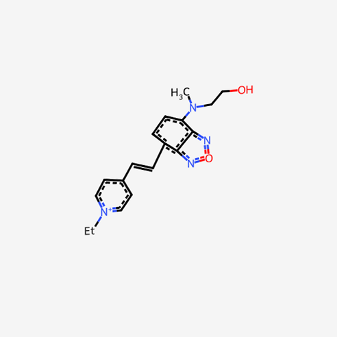 CC[n+]1ccc(/C=C/c2ccc(N(C)CCO)c3nonc23)cc1